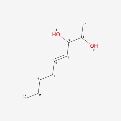 [CH2]C(O)C(O)C=CCCCC